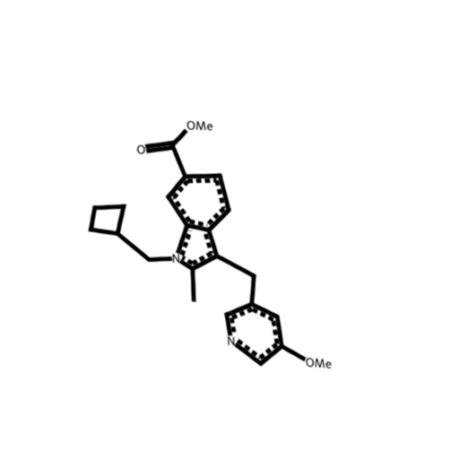 COC(=O)c1ccc2c(Cc3cncc(OC)c3)c(C)n(CC3CCC3)c2c1